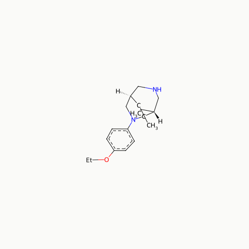 CCOc1ccc(N2C[C@H]3CNC[C@H](C2)C(C)(C)C3)cc1